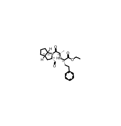 CCOC(=O)[C@H](CCc1ccccc1)N[C@@H](C)C(=O)N1[C@H](C=O)C[C@@H]2CCC[C@@H]21